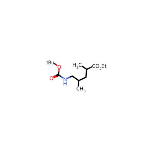 CCOC(=O)C(C)CC(C)CNC(=O)OC(C)(C)C